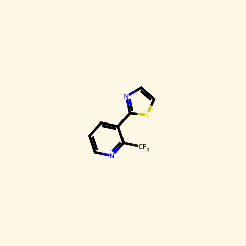 FC(F)(F)c1ncccc1-c1nc[c]s1